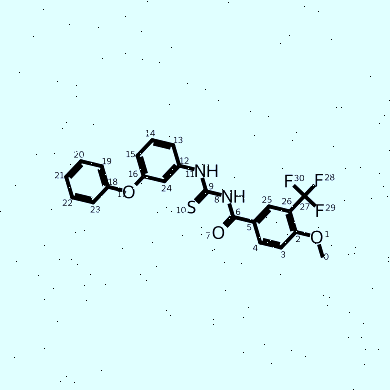 COc1ccc(C(=O)NC(=S)Nc2cccc(Oc3ccccc3)c2)cc1C(F)(F)F